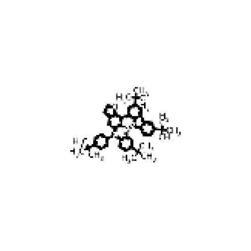 CC(C)(C)c1ccc(-n2c3cc4ccoc4c4c3-n(c3cc(C(C)(C)C)ccc32)n2c3ccc(C(C)(C)C)cc3c3cc(C(C)(C)C)cc4c32)cc1